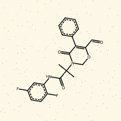 CC(C)(C(=O)Nc1cc(F)ccc1F)N1COC(C=O)=C(c2ccccc2)C1=O